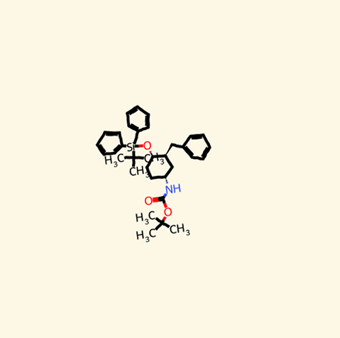 CC(C)(C)OC(=O)N[C@@H]1CC[C@H](O[Si](c2ccccc2)(c2ccccc2)C(C)(C)C)[C@@H](Cc2ccccc2)C1